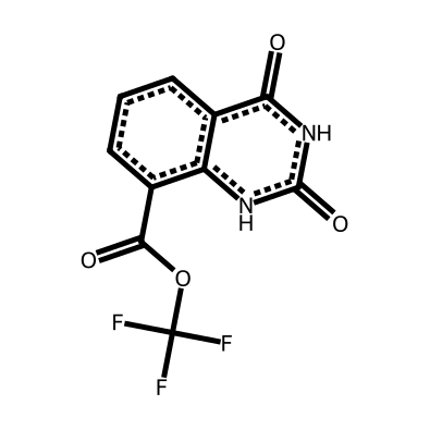 O=C(OC(F)(F)F)c1cccc2c(=O)[nH]c(=O)[nH]c12